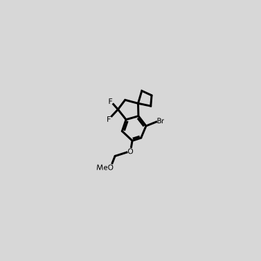 COCOc1cc(Br)c2c(c1)C(F)(F)CC21CCC1